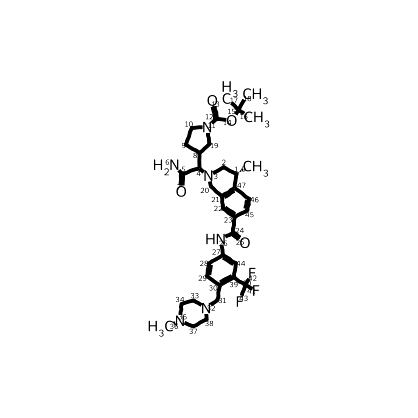 C[C@H]1CN(C(C(N)=O)C2CCN(C(=O)OC(C)(C)C)C2)Cc2cc(C(=O)Nc3ccc(CN4CCN(C)CC4)c(C(F)(F)F)c3)ccc21